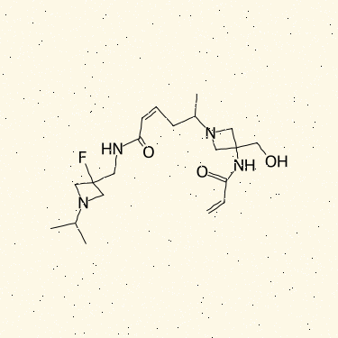 C=CC(=O)NC1(CO)CN(C(C)C/C=C\C(=O)NCC2(F)CN(C(C)C)C2)C1